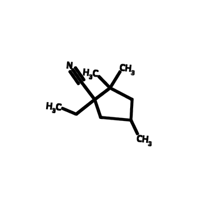 CCC1(C#N)CC(C)CC1(C)C